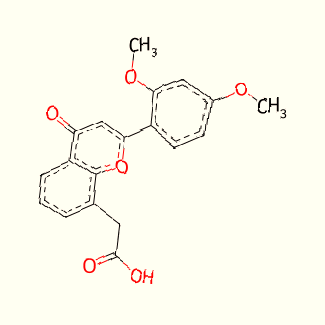 COc1ccc(-c2cc(=O)c3cccc(CC(=O)O)c3o2)c(OC)c1